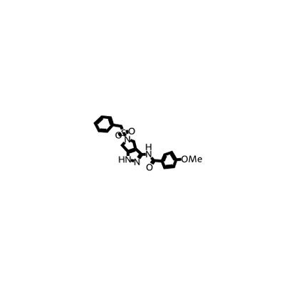 COc1ccc(C(=O)Nc2n[nH]c3c2CN(S(=O)(=O)Cc2ccccc2)C3)cc1